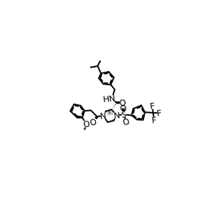 COc1ccccc1CC(=O)N1CCN(S(=O)(=O)c2ccc(C(F)(F)F)cc2)[C@@H](C(=O)NCc2ccc(C(C)C)cc2)C1